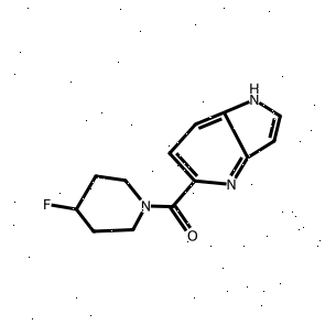 O=C(c1ccc2[nH]ccc2n1)N1CCC(F)CC1